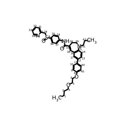 CCCCOCCOc1ccc(-c2ccc3c(c2)C=C(C(=O)Nc2ccc([S+]([O-])Cc4ccccn4)cc2)CCN3CCC)cc1